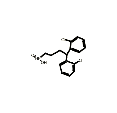 O=[PH](O)CCCC(c1ccccc1Cl)c1ccccc1Cl